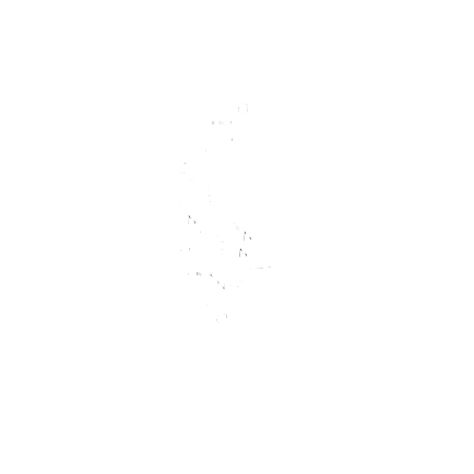 Cc1cn(CC(F)(F)F)c(=O)c2c(C(=O)N3CCC(Oc4ccc(Cl)cc4)CC3)cnn12